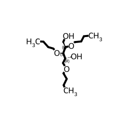 CCCCOC[C@@H](O)[C@H](OCCCC)[C@@H](CO)OCCCC